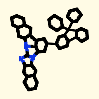 c1ccc(C2(c3ccccc3)c3ccccc3-c3ccc(-c4cc5c6cc7ccccc7cc6n6c5c(c4)n4c5cc7ccccc7cc5nc46)cc32)cc1